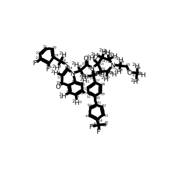 [2H]c1c(C)c([2H])c2c(c1[2H])c(=O)c([2H])c(SC([2H])([2H])c1cccc(F)c1F)n2C([2H])([2H])C(=O)N(C([2H])([2H])c1ccc(-c2ccc(C(F)(F)F)cc2)cc1)C1([2H])C([2H])([2H])C([2H])([2H])N(C([2H])([2H])COC([2H])([2H])[2H])C([2H])([2H])C1([2H])[2H]